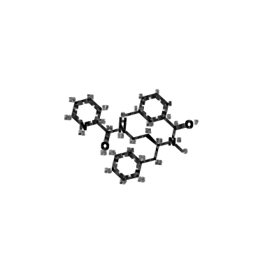 Cc1cccc(C(=O)N(C)[C@H](CCNC(=O)c2ccccn2)Cc2ccccc2)c1